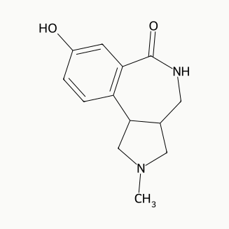 CN1CC2CNC(=O)c3cc(O)ccc3C2C1